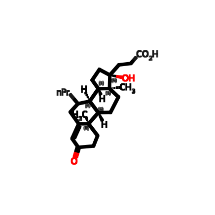 CCCC1CC2=CC(=O)CC[C@]2(C)[C@H]2CC[C@@]3(C)[C@@H](CC[C@]3(O)CCC(=O)O)[C@H]12